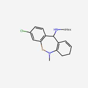 CCCCCCNC1C2=C(CCC=C2)N(C)Sc2cc(Cl)ccc21